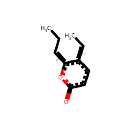 C/C=c1/ccc(=O)o/c1=C/CC